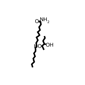 CCCC(O)C(C)O.CCCCCCCCCCCCCCCCCC(N)=O